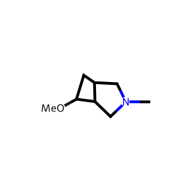 COC1CC2CN(C)CC21